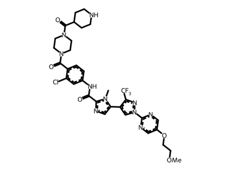 COCCOc1cnc(-n2cc(-c3cnc(C(=O)Nc4ccc(C(=O)N5CCN(C(=O)C6CCNCC6)CC5)c(Cl)c4)n3C)c(C(F)(F)F)n2)nc1